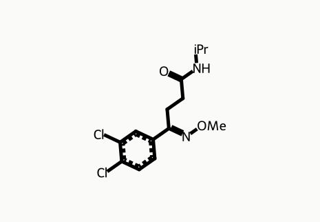 CO/N=C(\CCC(=O)NC(C)C)c1ccc(Cl)c(Cl)c1